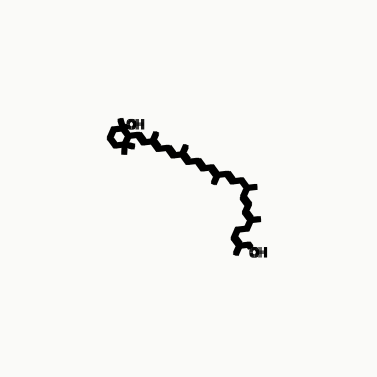 C/C(=C/CC/C(C)=C/C=C/C(C)C/C=C/C(C)=C/C=C/C=C(C)/C=C/C=C(C)/C=C/C1C(C)(C)CCCC1(C)O)CO